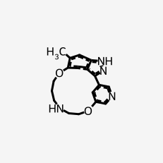 Cc1cc2[nH]nc3c2cc1OCCCNCCOc1cncc-3c1